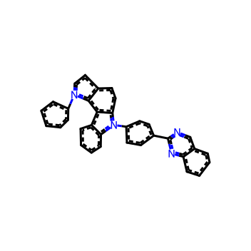 c1ccc(-n2ccc3ccc4c(c5ccccc5n4-c4ccc(-c5ncc6ccccc6n5)cc4)c32)cc1